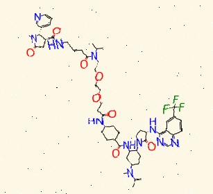 CC(C)N(CCOCCOCCC(=O)NC1CCC(C(=O)N[C@@H]2C[C@H](N(C)C(C)C)CC[C@@H]2N2CC[C@H](Nc3ncnc4ccc(C(F)(F)F)cc34)C2=O)CC1)C(=O)CCCNC(=O)[C@H]1CC(=O)N(C)[C@@H]1c1cccnc1